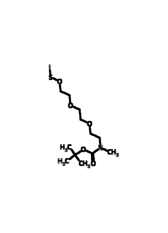 CN(CCOCCOCCOSI)C(=O)OC(C)(C)C